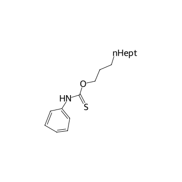 CCCCCCCCCCOC(=S)Nc1ccccc1